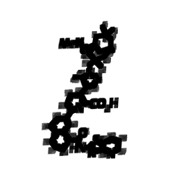 CNOC12CC(C)(C)CC(C)(CC(C)(Cn3ncc(-c4ccc(-c5ccc6cccc(C(=O)Nc7nc8ncccc8s7)c6c5)nc4C(=O)O)c3C)C1)C2